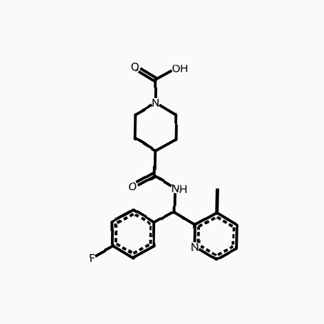 Cc1cccnc1C(NC(=O)C1CCN(C(=O)O)CC1)c1ccc(F)cc1